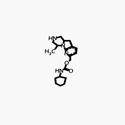 CC1CNCC2Cc3ccc(COC(=O)NC4CCCCC4)nc3N12